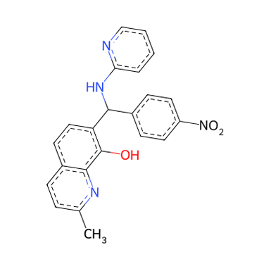 Cc1ccc2ccc(C(Nc3ccccn3)c3ccc([N+](=O)[O-])cc3)c(O)c2n1